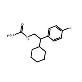 O=C(O)C(=O)NCC(c1ccc(Br)cc1)C1CCCCC1